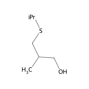 CC(CO)CSC(C)C